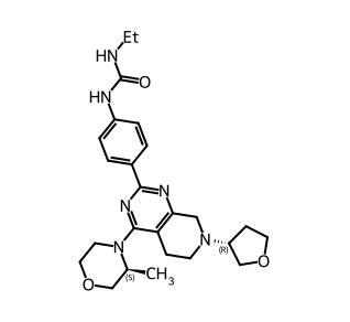 CCNC(=O)Nc1ccc(-c2nc3c(c(N4CCOC[C@@H]4C)n2)CCN([C@@H]2CCOC2)C3)cc1